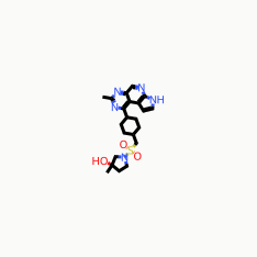 Cc1nc(C2CCC(CS(=O)(=O)N3CCC(C)(O)C3)CC2)c2c(cnc3[nH]ccc32)n1